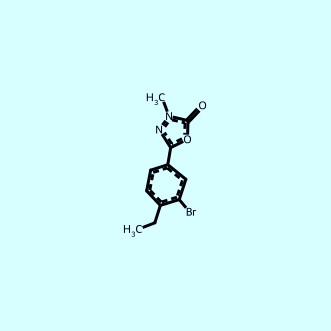 CCc1ccc(-c2nn(C)c(=O)o2)cc1Br